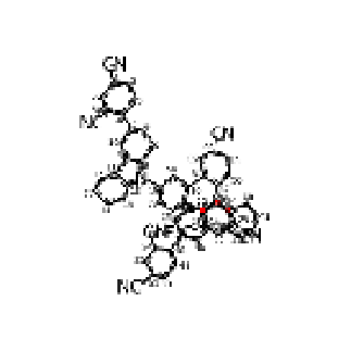 N#Cc1ccc(-c2ccc3c(c2)c2ccccc2n3-c2ccc(-c3ccc(C#N)cc3C(F)(F)F)c(-c3cc(C#N)ccc3-n3c4ccccc4c4cc(-c5ccc(C#N)cc5C#N)ccc43)c2)c(C#N)c1